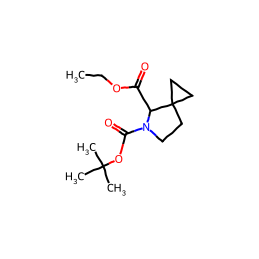 CCOC(=O)C1N(C(=O)OC(C)(C)C)CCC12CC2